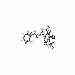 CC(C)(C)OC(=O)[C@@]1(C)C(=O)CN(OCc2ccccc2)C1=C=O